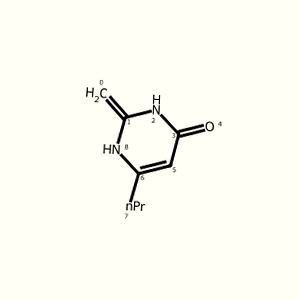 C=C1NC(=O)C=C(CCC)N1